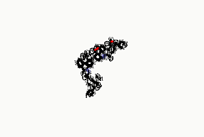 CC(C)c1ccccc1-c1c(/C=C/C(=O)N2CCN(C(=O)c3ccncc3)C(C(=O)N(C)C)C2)ccc(Sc2ccc(/C=C/C(=O)N3CCN(C(=O)c4ccncc4)C(C(=O)N(C)C)C3)c(-c3ccccc3C(C)C)c2[N+](=O)[O-])c1[N+](=O)[O-]